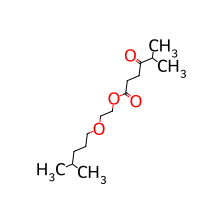 CC(C)CCCOCCOC(=O)CCC(=O)C(C)C